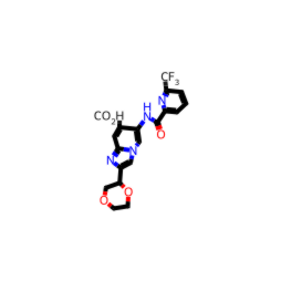 O=C(Nc1cn2cc(C3COCCO3)nc2cc1C(=O)O)c1cccc(C(F)(F)F)n1